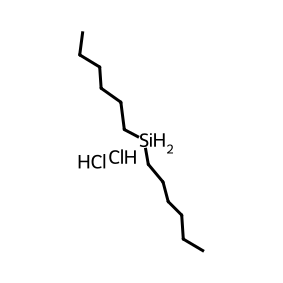 CCCCCC[SiH2]CCCCCC.Cl.Cl